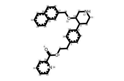 O=C(OCCc1ccc(C2CCNCC2OCc2ccc3ccccc3c2)cc1)c1ccccn1